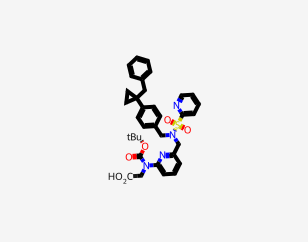 CC(C)(C)OC(=O)N(CC(=O)O)c1cccc(CN(Cc2ccc(C3(Cc4ccccc4)CC3)cc2)S(=O)(=O)c2ccccn2)n1